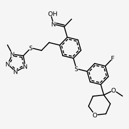 COC1(c2cc(F)cc(Sc3ccc(/C(C)=N/O)c(CCSc4nnnn4C)c3)c2)CCOCC1